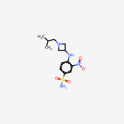 C[C](C)CN1CC(Nc2ccc(S(N)(=O)=O)cc2[N+](=O)[O-])C1